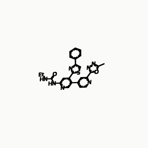 CCNC(=O)Nc1cc(-c2nc(-c3ccccc3)cs2)c(-c2ccnc(-c3nnc(C)o3)c2)cn1